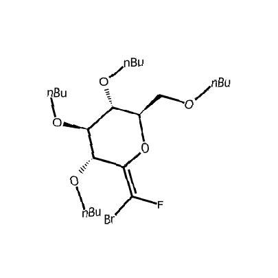 CCCCOC[C@H]1OC(=C(F)Br)[C@H](OCCCC)[C@@H](OCCCC)[C@@H]1OCCCC